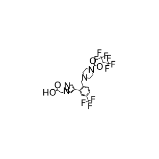 O=C(O)Cn1cc(-c2cc(C(F)(F)F)ccc2CN2CCN(C(=O)OC(C(F)(F)F)C(F)(F)F)CC2)cn1